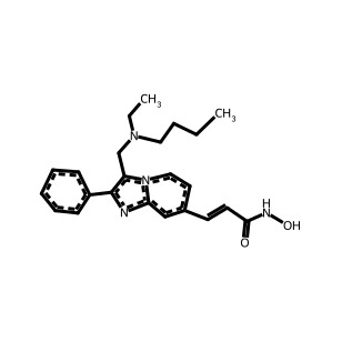 CCCCN(CC)Cc1c(-c2ccccc2)nc2cc(/C=C/C(=O)NO)ccn12